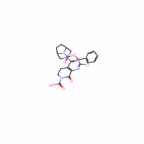 O=C(O)N1CCc2c(nc(Cl)nc2N2CC3CCC(C2)N3C(=O)OCc2ccccc2)C1=O